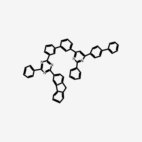 c1ccc(-c2ccc(-c3cc(-c4cccc(-c5cccc(-c6nc(-c7ccccc7)nc(-c7ccc8c(c7)-c7ccccc7C8)n6)c5)c4)nc(-c4ccccc4)n3)cc2)cc1